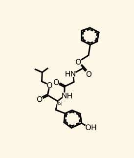 CC(C)COC(=O)[C@H](Cc1ccc(O)cc1)NC(=O)CNC(=O)OCc1ccccc1